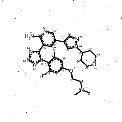 CN(C)CCOc1cc(F)c(-n2nnnc2-c2cc(-c3cnn(C4CCOCC4)c3)cnc2N)c(F)c1